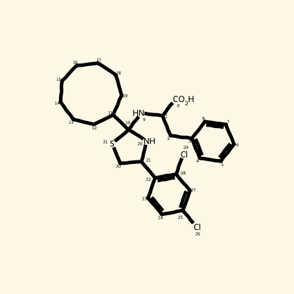 O=C(O)C(Cc1ccccc1)NC1(C2CCCCCCCC2)NC(c2ccc(Cl)cc2Cl)CS1